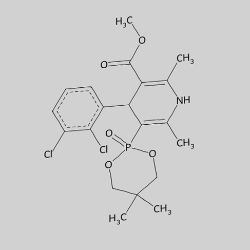 COC(=O)C1=C(C)NC(C)=C(P2(=O)OCC(C)(C)CO2)C1c1cccc(Cl)c1Cl